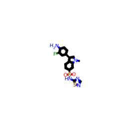 Cn1cc(-c2ccc(N)c(F)c2)c2ccc(S(=O)(=O)Nc3ncns3)cc21